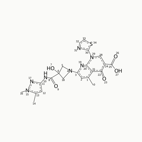 Cc1cc(N2CC(O)(C(=O)Nc3cc(C)n(C)n3)C2)nc2c1c(=O)c(C(=O)O)cn2-c1nccs1